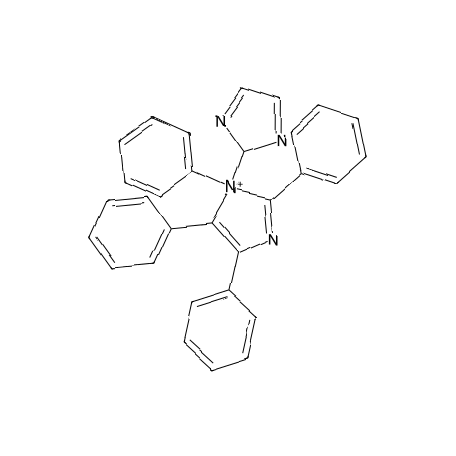 C1=NC([N+]2(c3ccccc3)C(c3ccccc3)=NC(c3ccccc3)=C2c2ccccc2)N=C1